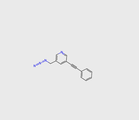 [N-]=[N+]=NCc1cncc(C#Cc2ccccc2)c1